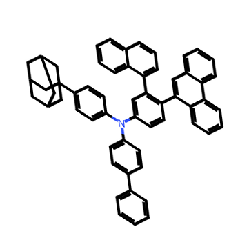 c1ccc(-c2ccc(N(c3ccc(C45CC6CC(CC(C6)C4)C5)cc3)c3ccc(-c4cc5ccccc5c5ccccc45)c(-c4cccc5ccccc45)c3)cc2)cc1